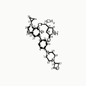 C[C@@H](Oc1nc(-c2ccc(N3CCN(C4COC4)CC3)cc2)cc2ncn(C3CC3)c12)C1CNC(=O)C1